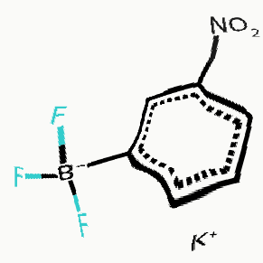 O=[N+]([O-])c1cccc([B-](F)(F)F)c1.[K+]